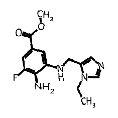 CCn1cncc1CNc1cc(C(=O)OC)cc(F)c1N